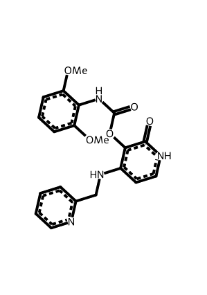 COc1cccc(OC)c1NC(=O)Oc1c(NCc2ccccn2)cc[nH]c1=O